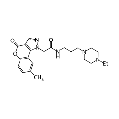 CCN1CCN(CCCNC(=O)Cn2ncc3c(=O)oc4ccc(C)cc4c32)CC1